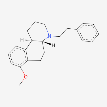 COc1cccc2c1CC[C@@H]1[C@@H]2CCCN1CCc1ccccc1